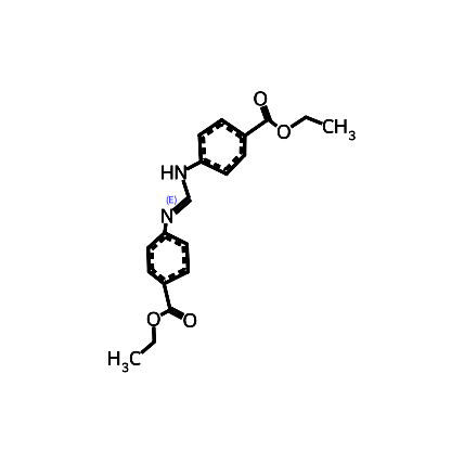 CCOC(=O)c1ccc(/N=C/Nc2ccc(C(=O)OCC)cc2)cc1